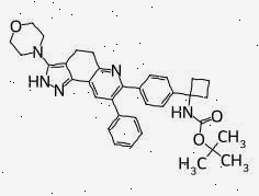 CC(C)(C)OC(=O)NC1(c2ccc(-c3nc4c(cc3-c3ccccc3)-c3n[nH]c(N5CCOCC5)c3CC4)cc2)CCC1